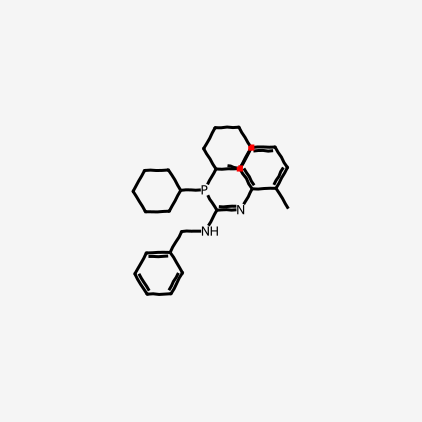 Cc1cccc(C)c1/N=C(/NCc1ccccc1)P(C1CCCCC1)C1CCCCC1